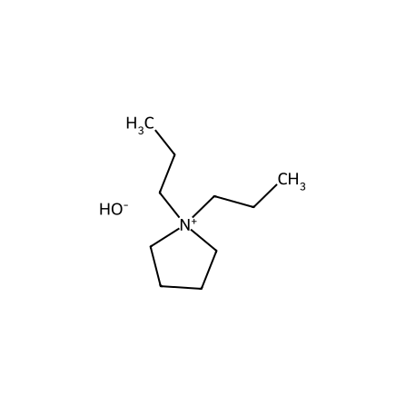 CCC[N+]1(CCC)CCCC1.[OH-]